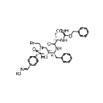 CC(C)CN(C[C@@H](O)[C@H](Cc1ccccc1)NC(=O)[C@H](CC(=O)O)NC(=O)OCc1ccccc1)S(=O)(=O)c1ccc(C=NO)cc1